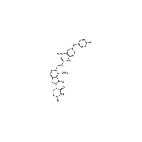 COc1cc(Oc2ccc(F)cc2)ccc1NC(=O)OCc1ccc2c(c1OC)C(=O)N(C1CCC(=O)NC1=O)C2